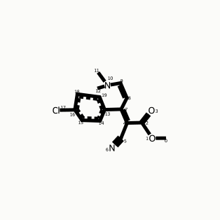 COC(=O)/C(C#N)=C(\C=C/N(C)C)c1ccc(Cl)cc1